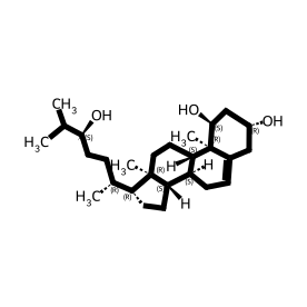 CC(C)[C@@H](O)CC[C@@H](C)[C@H]1CC[C@H]2[C@@H]3CC=C4C[C@@H](O)C[C@H](O)[C@]4(C)[C@H]3CC[C@]12C